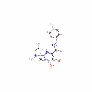 CC(=O)C1CN(C)C(C)(c2nc(O)c(O)c(C(=O)NCc3ccc(F)cc3)n2)C1